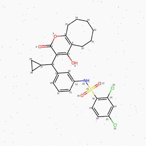 O=c1oc2c(c(O)c1C(c1cccc(NS(=O)(=O)c3ccc(Cl)cc3Cl)c1)C1CC1)CCCCCC2